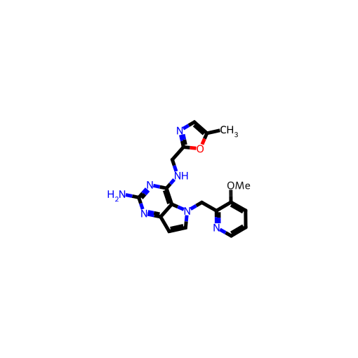 COc1cccnc1Cn1ccc2nc(N)nc(NCc3ncc(C)o3)c21